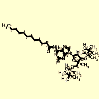 CCCCCCCCCCCC(=O)Nc1nc(F)nc2c1ncn2[C@H]1CC(O[Si](C)(C)C(C)(C)C)[C@@](C)(CO[Si](C)(C)C(C)(C)C)O1